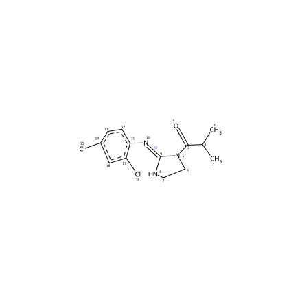 CC(C)C(=O)N1CCN/C1=N\c1ccc(Cl)cc1Cl